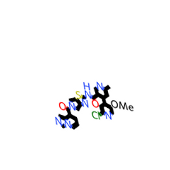 COc1cnc(Cl)cc1-c1cc(C)ncc1C(=O)Nc1nc2c(s1)CN(C(=O)c1cccn3cncc13)C2